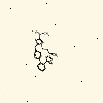 C=CCCn1nc(C(C)C)nc1Cc1ccc(-c2ccccc2-c2nnn[nH]2)cc1